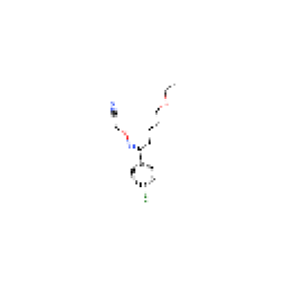 CCOCCCCC(=NOCC#N)c1ccc(Cl)cc1